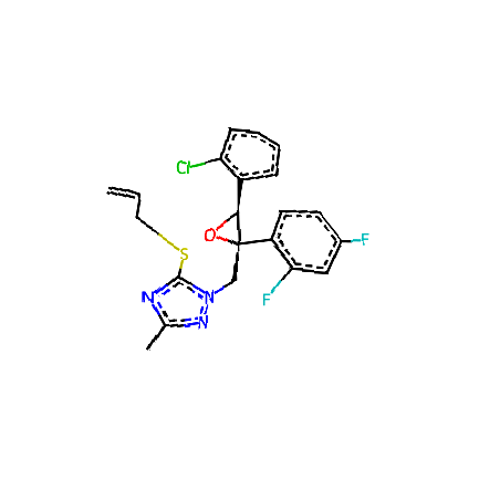 C=CCSc1nc(C)nn1C[C@@]1(c2ccc(F)cc2F)O[C@H]1c1ccccc1Cl